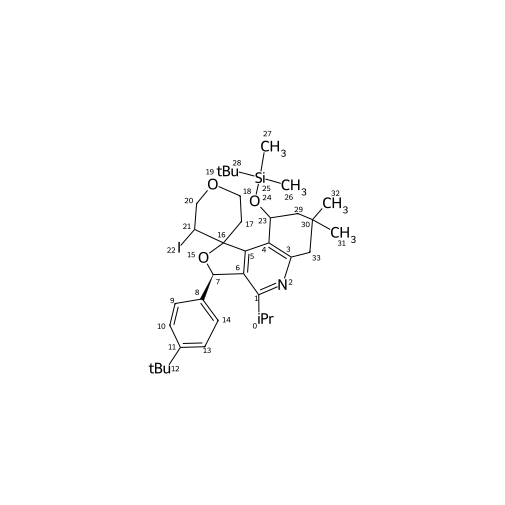 CC(C)c1nc2c(c3c1[C@@H](c1ccc(C(C)(C)C)cc1)OC31CCOCC1I)C(O[Si](C)(C)C(C)(C)C)CC(C)(C)C2